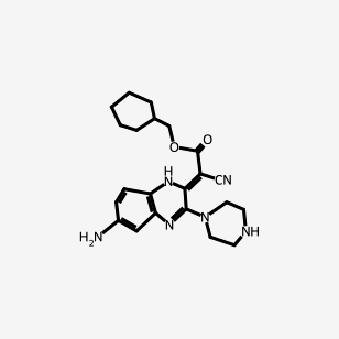 N#CC(C(=O)OCC1CCCCC1)=C1Nc2ccc(N)cc2N=C1N1CCNCC1